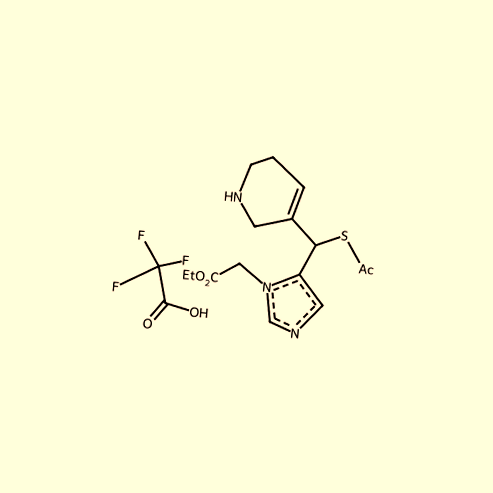 CCOC(=O)Cn1cncc1C(SC(C)=O)C1=CCCNC1.O=C(O)C(F)(F)F